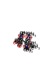 CCC(CC)N1C(=O)c2ccc3c4c(C#Cc5cc6c7c(ccc8c9c(OC(C)(C)CO)cc%10c%11c(ccc(c5c78)c%119)COOC%10)C(=O)N(C(CC)CC)C6=O)cc5c6c(cc(OC(C)(CC)CCC(C)C)c(c7ccc(c2c37)C1=O)c64)C(=O)N(C(CC)CC)C5=O